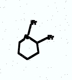 CC(C)[CH]1CCC[CH2][Al]1[CH](C)C